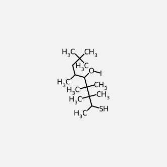 CC(CC(C)(C)C)C(OI)C(C)(C)C(C)(C)C(C)S